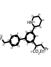 CCOC(=O)C(CC(C)C)c1cc(-c2ccc(CF)cc2)cc(C2CCCCN2)c1